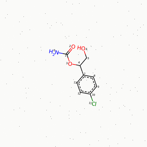 NC(=O)OC(CO)c1ccc(Cl)cc1